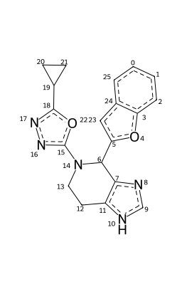 c1ccc2oc(C3c4nc[nH]c4CCN3c3nnc(C4CC4)o3)cc2c1